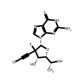 C[C@@H](O)[C@H]1O[C@@H](n2cnc3c(=S)[nH]c(N)nc32)C(F)(C#CCl)[C@H]1O